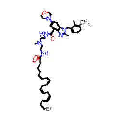 CC/C=C\C/C=C\C/C=C\C/C=C\C/C=C\CCCC(=O)NCCN(C)CCNC(=O)c1cc(N2CCOCC2)cc2c1nc(C)n2Cc1cccc(C(F)(F)F)c1C